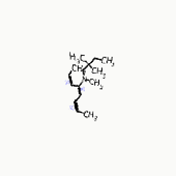 C\C=C/C=C(\C=C/C)N(C)CC(C)(C)CC